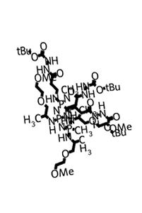 CN=P(N=P(N=P(C)(NC(C)COCCOC)NC(C)COCCOC)(NCCC(=O)NNC(=O)OC(C)(C)C)NC(C)COCCOC)(NCCC(=O)NNC(=O)OC(C)(C)C)NCCC(=O)NNC(=O)OC(C)(C)C